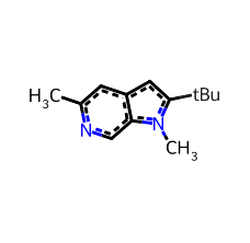 Cc1cc2cc(C(C)(C)C)n(C)c2cn1